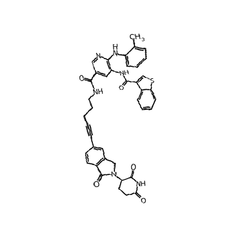 Cc1ccccc1Nc1ncc(C(=O)NCCCC#Cc2ccc3c(c2)CN(C2CCC(=O)NC2=O)C3=O)cc1NC(=O)c1csc2ccccc12